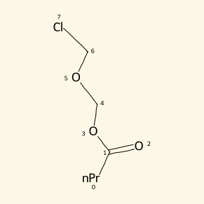 CCCC(=O)OCOCCl